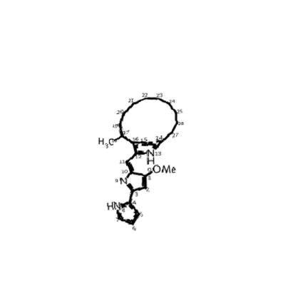 COC1=CC(c2ccc[nH]2)=N/C1=C/c1[nH]c2cc1C(C)CCCCCCCCC2